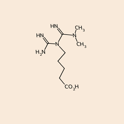 CN(C)C(=N)N(CCCCC(=O)O)C(=N)N